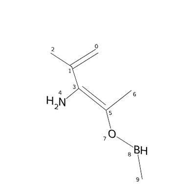 C=C(C)/C(N)=C(\C)OBC